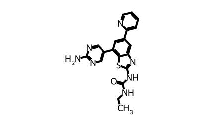 CCNC(=O)Nc1nc2cc(-c3ccccn3)cc(-c3cnc(N)nc3)c2s1